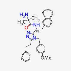 COc1ccc(Cn2c(CCc3ccccc3)nnc2[C@@H](Cc2ccc3ccccc3c2)NC(=O)C(C)(C)N)cc1